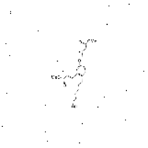 COC(=O)/C=C/c1cc(OCCCC(=O)OC)ccc1CCCCCCO